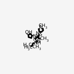 Cc1nc(NCC(C)(C)C)nc(N[C@H]2CC[C@@H](CO)C2)c1-c1nc2c(s1)CCN(C)C2